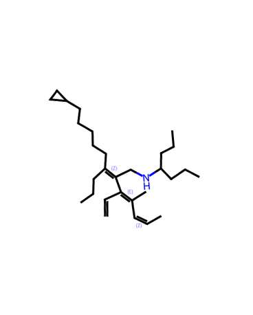 C=CC(/C(CNC(CCC)CCC)=C(\CCC)CCCCCC1CC1)=C(C)\C=C/C